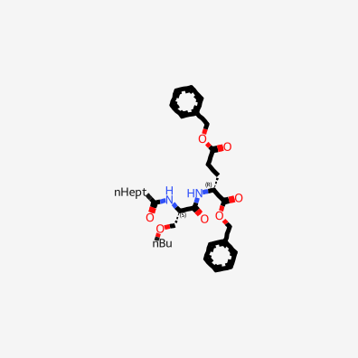 CCCCCCCC(=O)N[C@@H](COCCCC)C(=O)N[C@H](CCC(=O)OCc1ccccc1)C(=O)OCc1ccccc1